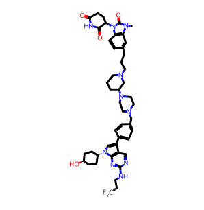 Cn1c(=O)n(C2CCC(=O)NC2=O)c2ccc(CCCN3CCCC(N4CCN(Cc5ccc(-c6cn([C@H]7CC[C@H](O)CC7)c7nc(NCCC(F)(F)F)ncc67)cc5)CC4)C3)cc21